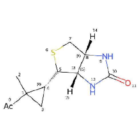 CC(=O)C1(C)C[C@H]1C1SC[C@@H]2NC(=O)N[C@H]12